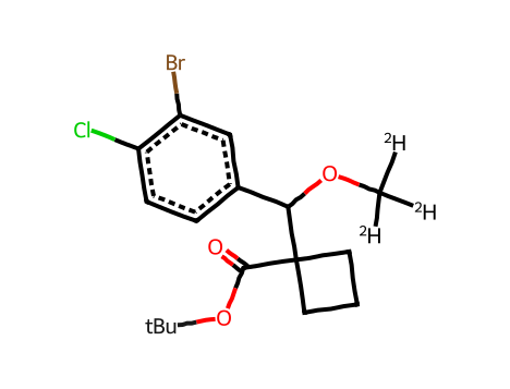 [2H]C([2H])([2H])OC(c1ccc(Cl)c(Br)c1)C1(C(=O)OC(C)(C)C)CCC1